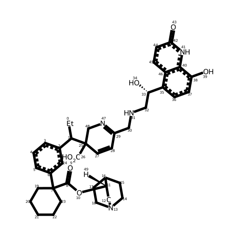 CCC(c1cccc(C2(C(=O)O[C@H]3CN4CCC3CC4)CCCCC2)c1)C1(C(=O)O)C=CC(CNC[C@H](O)c2ccc(O)c3[nH]c(=O)ccc23)=NC1